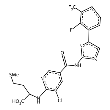 CSCCC(Nc1ncc(C(=O)Nc2nc(-c3cccc(C(F)(F)F)c3F)cs2)cc1Cl)C(=O)O